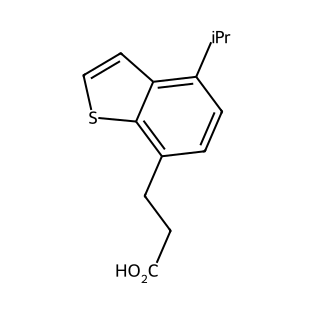 CC(C)c1ccc(CCC(=O)O)c2sccc12